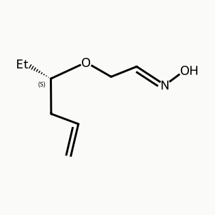 C=CC[C@H](CC)OCC=NO